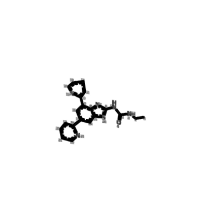 CCNC(=O)Nc1nc2c(-c3ccccn3)cc(-c3ccccn3)cc2s1